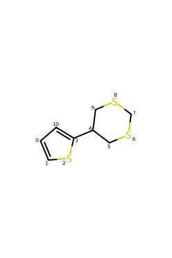 c1csc(C2CSCSC2)c1